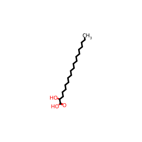 CCCCCCCCCCCCCCCCCCC(O)C(=O)O